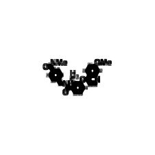 CNC(=O)c1ccc(CNC(=O)c2cccc(Oc3ccnc4cc(OC)ccc34)c2C)cc1